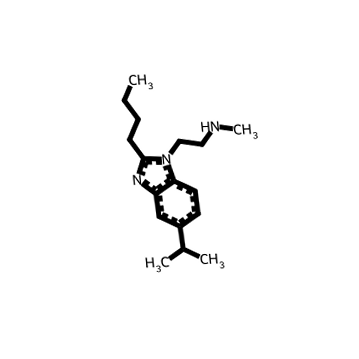 CCCCc1nc2cc(C(C)C)ccc2n1CCNC